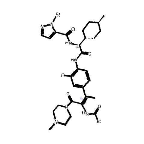 CCC(=O)N/C(C(=O)N1CCN(C)CC1)=C(\C)c1ccc(NC(=O)[C@@H](NC(=O)c2ccnn2CC)[C@H]2CC[C@H](C)CC2)c(F)c1